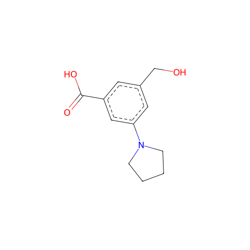 O=C(O)c1cc(CO)cc(N2CCCC2)c1